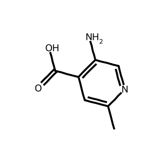 Cc1cc(C(=O)O)c(N)cn1